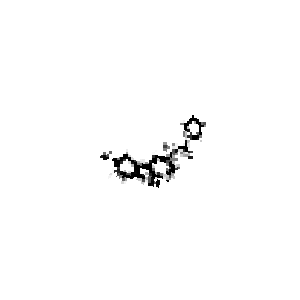 N#Cc1cc2c(cn1)[nH]c1ncc(NC(=O)N3CCCC3)cc12